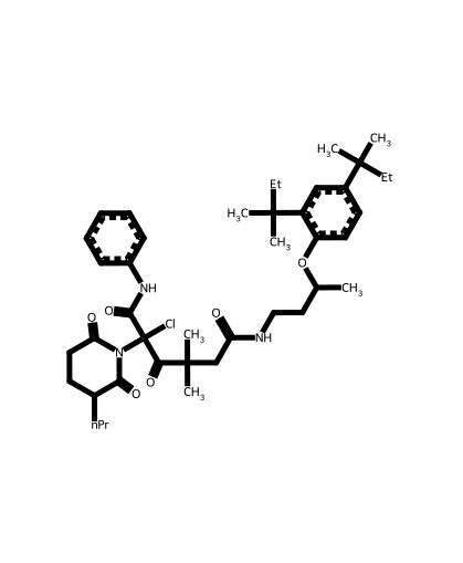 CCCC1CCC(=O)N(C(Cl)(C(=O)Nc2ccccc2)C(=O)C(C)(C)CC(=O)NCCC(C)Oc2ccc(C(C)(C)CC)cc2C(C)(C)CC)C1=O